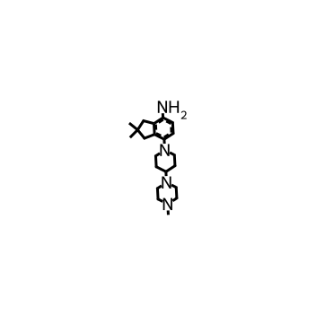 CN1CCN(C2CCN(c3ccc(N)c4c3CC(C)(C)C4)CC2)CC1